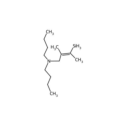 CCCCN(CCCC)CC(C)=C(C)[SiH3]